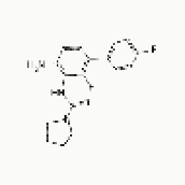 Nc1ccc(-c2ccc(F)cc2)c(F)c1NC(=O)N1CCCC1